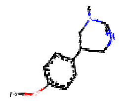 CCCOc1ccc(C2CN=CN(C)C2)cc1